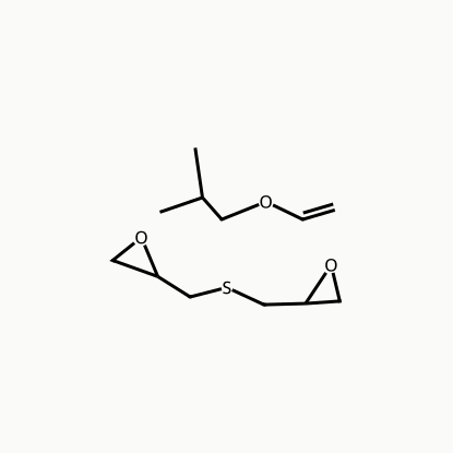 C1OC1CSCC1CO1.C=COCC(C)C